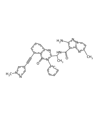 Cc1ccn2nc(N)c(C(=O)NC(C)c3nc4cccc(C#Cc5cnn(C)c5)c4c(=O)n3-c3ccccc3)c2n1